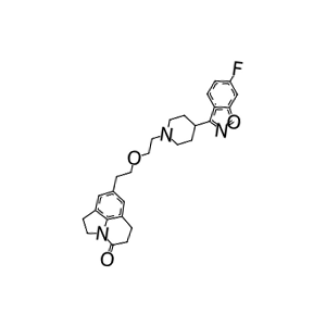 O=C1CCc2cc(CCOCCN3CCC(c4noc5cc(F)ccc45)CC3)cc3c2N1CC3